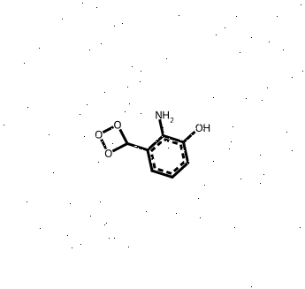 Nc1c(O)cccc1C1OOO1